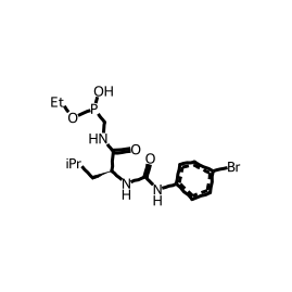 CCOP(O)CNC(=O)[C@H](CC(C)C)NC(=O)Nc1ccc(Br)cc1